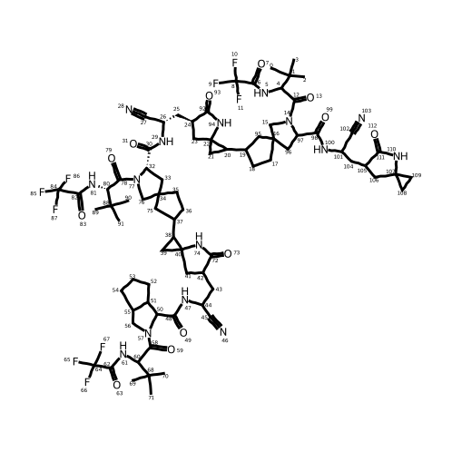 CC(C)(C)C(NC(=O)C(F)(F)F)C(=O)N1CC2(CCC(C3CC34C[C@@H](C[C@@H](C#N)NC(=O)[C@@H]3CC5(CCC(C6CC67CC(CC(C#N)NC(=O)C6C8CCCC8CN6C(=O)C(NC(=O)C(F)(F)F)C(C)(C)C)C(=O)N7)C5)CN3C(=O)[C@@H](NC(=O)C(F)(F)F)C(C)(C)C)C(=O)N4)C2)CC1C(=O)NC(C#N)CC1CC2(CC2)NC1=O